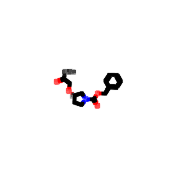 COC(=O)CO[C@H]1CCN(C(=O)OCc2ccccc2)C1